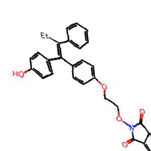 CCC(=C(c1ccc(O)cc1)c1ccc(OCCON2C(=O)c3ccccc3C2=O)cc1)c1ccccc1